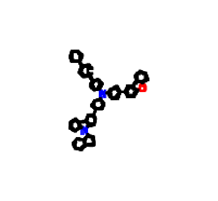 c1ccc(-c2ccc(-c3ccc(N(c4ccc(-c5ccc6oc7ccccc7c6c5)cc4)c4ccc(-c5ccc6c(c5)c5ccccc5n6-c5cccc6ccccc56)cc4)cc3)cc2)cc1